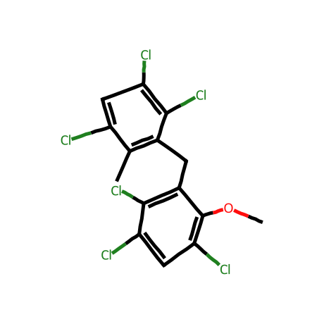 COc1c(Cl)cc(Cl)c(Cl)c1Cc1c(C)c(Cl)cc(Cl)c1Cl